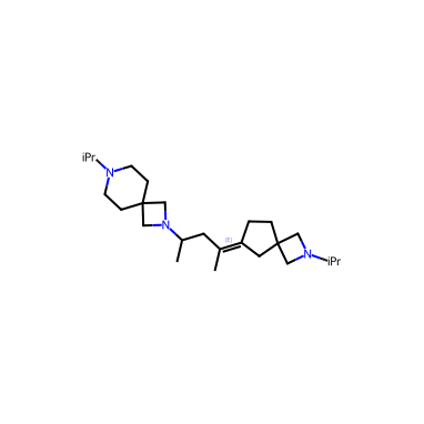 C/C(CC(C)N1CC2(CCN(C(C)C)CC2)C1)=C1/CCC2(C1)CN(C(C)C)C2